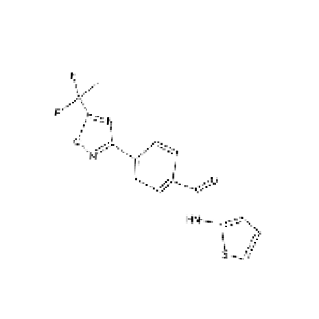 O=C(Nc1cccs1)c1ccc(-c2noc(C(F)(F)F)n2)cc1